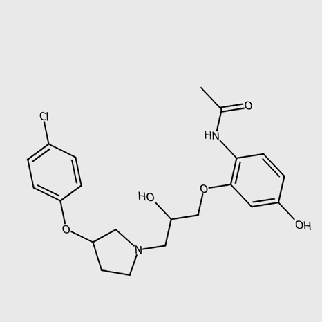 CC(=O)Nc1ccc(O)cc1OCC(O)CN1CCC(Oc2ccc(Cl)cc2)C1